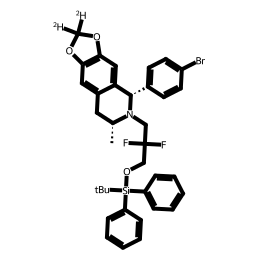 [2H]C1([2H])Oc2cc3c(cc2O1)[C@H](c1ccc(Br)cc1)N(CC(F)(F)CO[Si](c1ccccc1)(c1ccccc1)C(C)(C)C)[C@H](C)C3